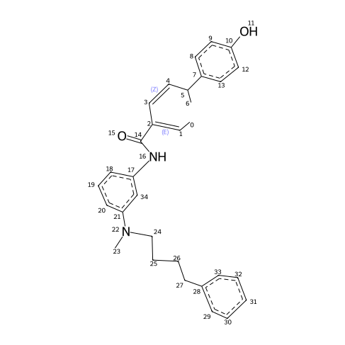 C/C=C(\C=C/C(C)c1ccc(O)cc1)C(=O)Nc1cccc(N(C)CCCCc2ccccc2)c1